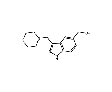 OCc1ccc2[nH]nc(CN3CCOCC3)c2c1